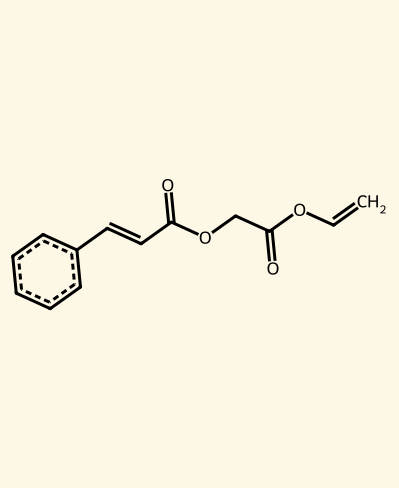 C=COC(=O)COC(=O)C=Cc1ccccc1